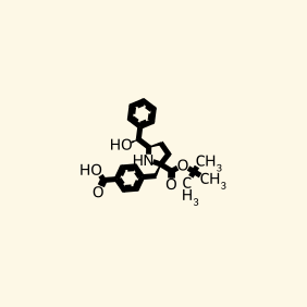 CC(C)(C)OC(=O)[C@@]1(Cc2ccc(C(=O)O)cc2)CC[C@H]([C@H](O)c2ccccc2)N1